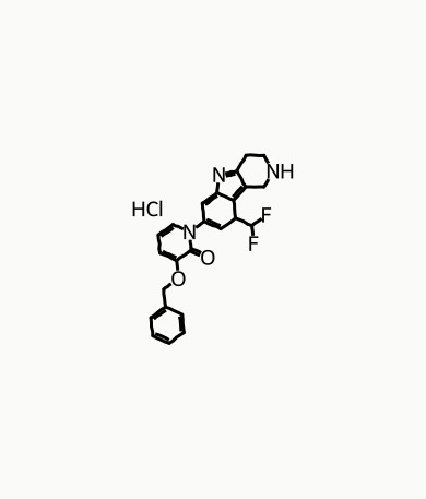 Cl.O=c1c(OCc2ccccc2)cccn1C1=CC(C(F)F)C2=C3CNCCC3=NC2=C1